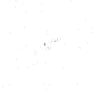 CC1CCCCN1CCCNC(=O)c1ncn(-c2ccc(NC(=O)c3ccc(F)cc3Cl)cc2)c1C(N)=O